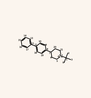 CC(C)(C)N1CCC(c2ccc(-c3ccccc3)cc2)CC1